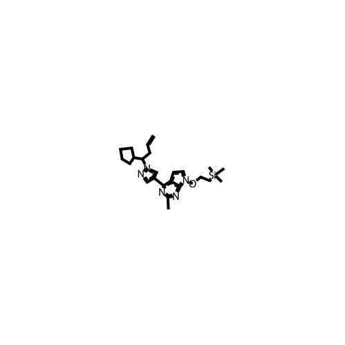 C=CCC(C1CCCC1)n1cc(-c2nc(C)nc3c2ccn3OCC[Si](C)(C)C)cn1